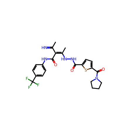 CC(=N)/C(C(=O)Nc1ccc(C(F)(F)F)cc1)=C(\C)NNC(=O)c1ccc(C(=O)N2CCCC2)s1